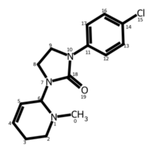 CN1CCC=CC1N1CCN(c2ccc(Cl)cc2)C1=O